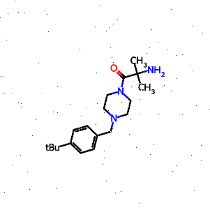 CC(C)(N)C(=O)N1CCN(Cc2ccc(C(C)(C)C)cc2)CC1